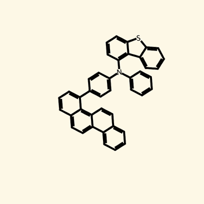 c1ccc(N(c2ccc(-c3cccc4ccc5c6ccccc6ccc5c34)cc2)c2cccc3sc4ccccc4c23)cc1